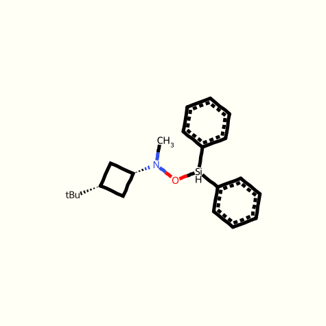 CN(O[SiH](c1ccccc1)c1ccccc1)[C@H]1C[C@@H](C(C)(C)C)C1